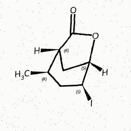 C[C@@H]1C[C@H](I)[C@@H]2C[C@H]1C(=O)O2